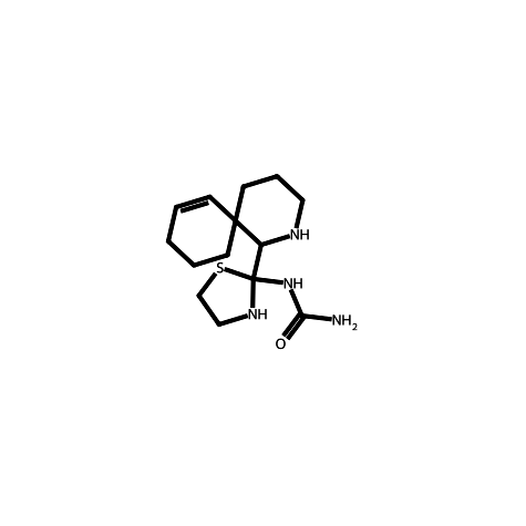 NC(=O)NC1(C2NCCCC23C=CCCC3)NCCS1